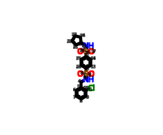 O=S(=O)(NCc1ccccc1Cl)c1ccc(S(=O)(=O)NC2CCCC2)cc1